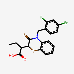 CCC(C(=O)O)C1Sc2ccccc2N(Cc2ccc(Br)cc2F)C1=S